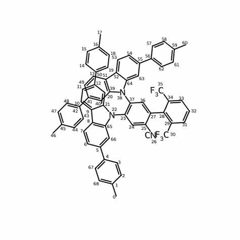 Cc1ccc(-c2ccc3c4ccc(-c5ccc(C)cc5)cc4n(-c4cc(C#N)c(-c5c(C(F)(F)F)cccc5C(F)(F)F)cc4-n4c5cc(-c6ccc(C)cc6)ccc5c5ccc(-c6ccc(C)cc6)cc54)c3c2)cc1